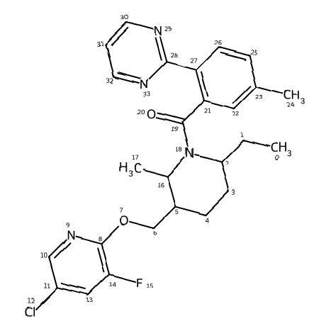 CCC1CCC(COc2ncc(Cl)cc2F)C(C)N1C(=O)c1cc(C)ccc1-c1ncccn1